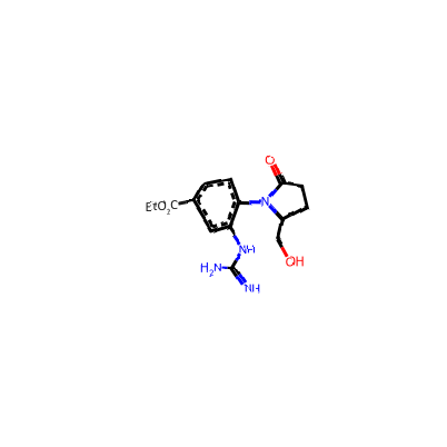 CCOC(=O)c1ccc(N2C(=O)CCC2CO)c(NC(=N)N)c1